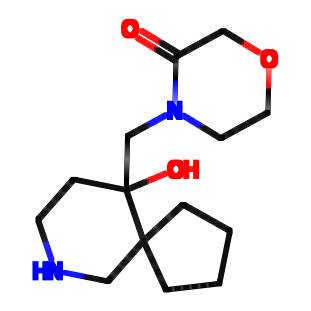 O=C1COCCN1CC1(O)CCNCC12CCCC2